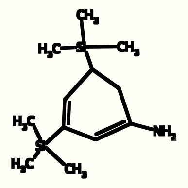 C[Si](C)(C)C1=CC([Si](C)(C)C)CC(N)=C1